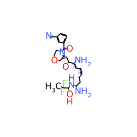 CC(F)(F)C(O)NC(N)CC/C=C\C=C(/N)C(=O)C[C@H]1COCCN1C(=O)c1cccc(C#N)c1